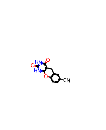 N#Cc1ccc2c(c1)Cc1c([nH]c(=O)[nH]c1=O)O2